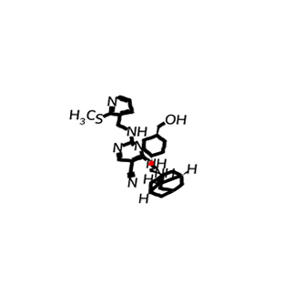 CSc1ncccc1CNc1ncc(C#N)c(NC[C@]23CC4C[C@H](C2)[C@@H](NC[C@H]2CC[C@H](CO)CC2)[C@@H](C4)C3)n1